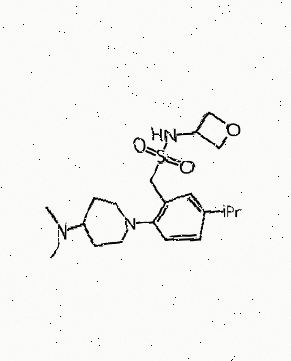 CC(C)c1ccc(N2CCC(N(C)C)CC2)c(CS(=O)(=O)NC2COC2)c1